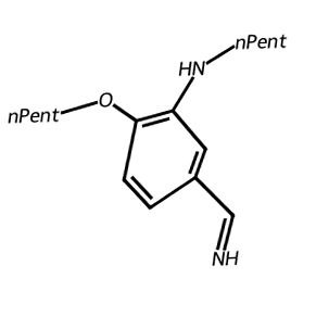 CCCCCNc1cc(C=N)ccc1OCCCCC